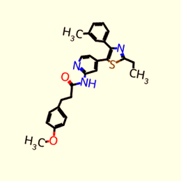 CCc1nc(-c2cccc(C)c2)c(-c2ccnc(NC(=O)CCc3ccc(OC)cc3)c2)s1